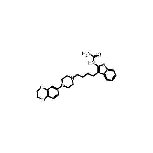 NC(=O)Nc1sc2ccccc2c1CCCCN1CCN(c2ccc3c(c2)OCCO3)CC1